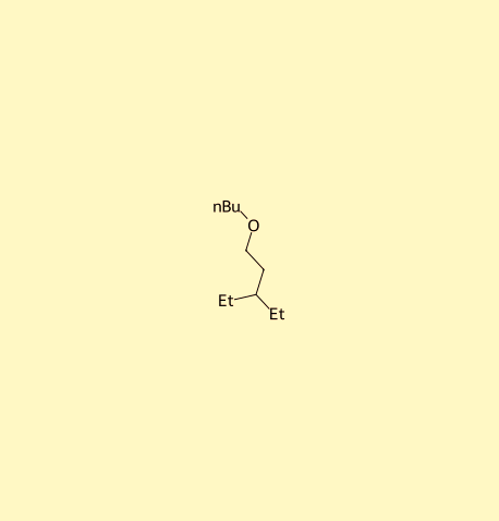 [CH2]CCCOCCC(CC)CC